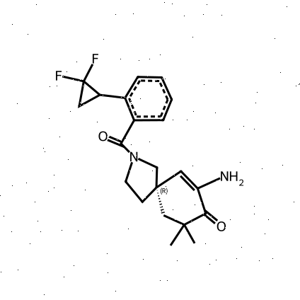 CC1(C)C[C@]2(C=C(N)C1=O)CCN(C(=O)c1ccccc1C1CC1(F)F)C2